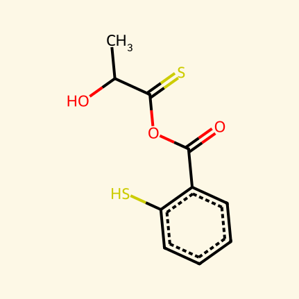 CC(O)C(=S)OC(=O)c1ccccc1S